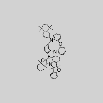 CC1(C)CCC(C)(C)c2cc(N3c4ccc5c(c4)N(c4ccccc4Oc4ccccc43)c3ccc4c6c3B5C3=C(N6C5(C)c6ccccc6OC45C)C4(C)CCCCC4(C)O3)ccc21